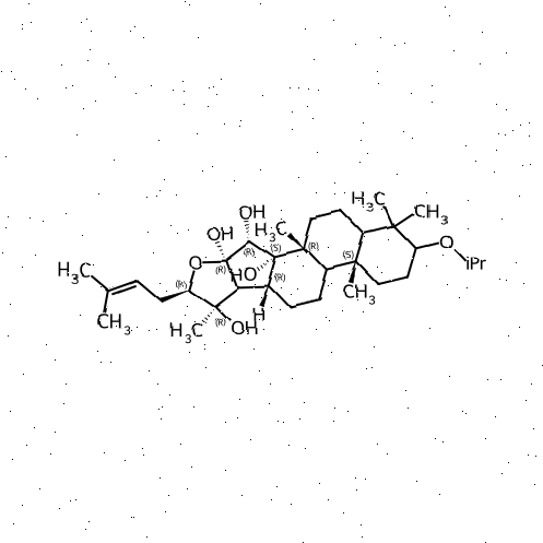 CC(C)=CC[C@H]1O[C@]2(O)C([C@H]3CCC4[C@@]5(C)CCC(OC(C)C)C(C)(C)C5CC[C@@]4(C)[C@]3(O)[C@H]2O)[C@@]1(C)O